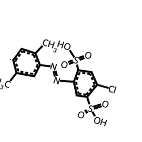 Cc1[c]cc(C)c(N=Nc2cc(S(=O)(=O)O)c(Cl)cc2S(=O)(=O)O)c1